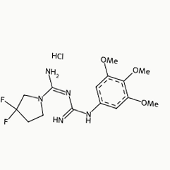 COc1cc(NC(=N)N=C(N)N2CCC(F)(F)C2)cc(OC)c1OC.Cl